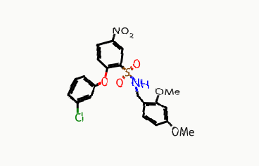 COc1ccc(CNS(=O)(=O)c2cc([N+](=O)[O-])ccc2Oc2cccc(Cl)c2)c(OC)c1